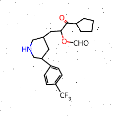 O=COC(CC1CNCC(c2ccc(C(F)(F)F)cc2)C1)C(=O)C1CCCC1